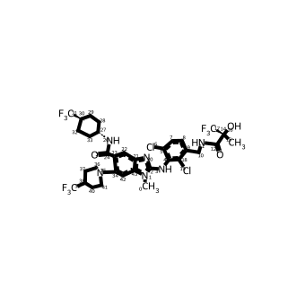 Cn1c(Nc2c(Cl)ccc(CNC(=O)[C@@](C)(O)C(F)(F)F)c2Cl)nc2cc(C(=O)N[C@H]3CC[C@H](C(F)(F)F)CC3)c(N3CCC(C(F)(F)F)CC3)cc21